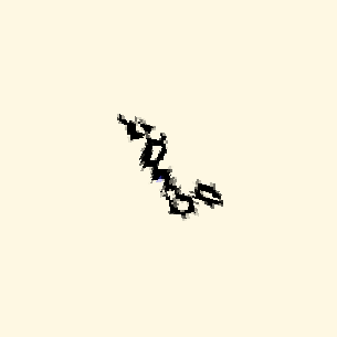 Cc1cn(-c2ccc(/C=C/c3nc4n(n3)CCC[C@@H]4c3ccsc3)cc2C)cn1